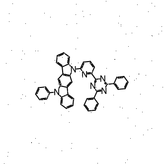 c1ccc(-c2nc(-c3ccccc3)nc(-c3cccc(-n4c5ccccc5c5cc6c(cc54)c4ccccc4n6-c4ccccc4)n3)n2)cc1